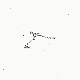 [CH2]Cc1cc(OCCCCCCCCCCCCCCCCC)cc(OCCCCCCCCCCCCCCCCC)c1